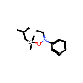 CCN(O[Si](C)(C)CC(C)C)c1ccccc1